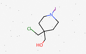 OCC1(CCl)CCN(I)CC1